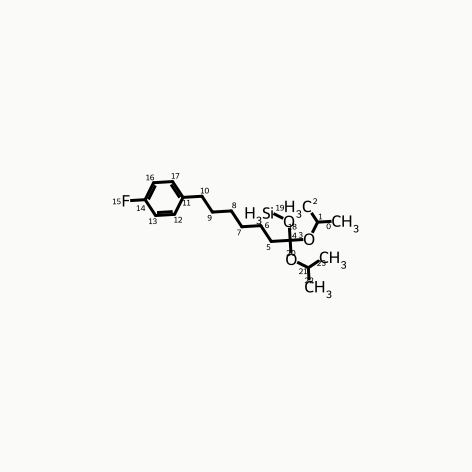 CC(C)OC(CCCCCCc1ccc(F)cc1)(O[SiH3])OC(C)C